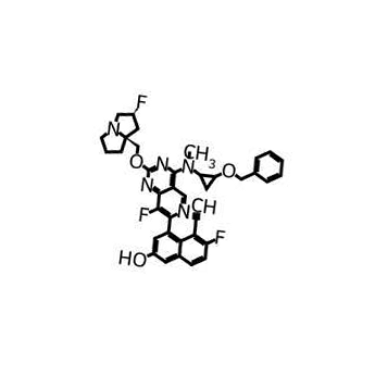 C#Cc1c(F)ccc2cc(O)cc(-c3ncc4c(N(C)C5CC5OCc5ccccc5)nc(OC[C@@]56CCCN5C[C@H](F)C6)nc4c3F)c12